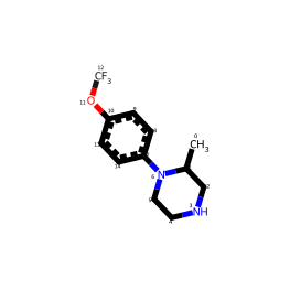 CC1CNCCN1c1ccc(OC(F)(F)F)cc1